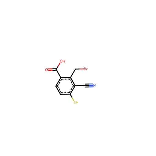 N#Cc1c(S)ccc(C(=O)O)c1CBr